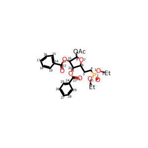 CCOP(=O)(CCC1OC(OC(C)=O)C(OC(=O)c2ccccc2)C1OC(=O)c1ccccc1)OCC